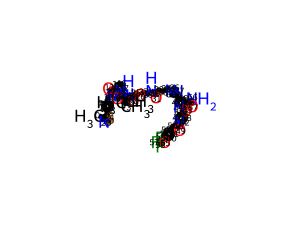 Cc1ncsc1-c1ccc(CNC(=O)C2CCCN2C(=O)C(NC(=O)COCCNC(=O)CCCn2cnc(-c3cnc(OC4CCN(C(=O)Cc5ccc(OC(F)(F)F)cc5)CC4)c(C(N)=O)c3)c2)C(C)(C)C)cc1